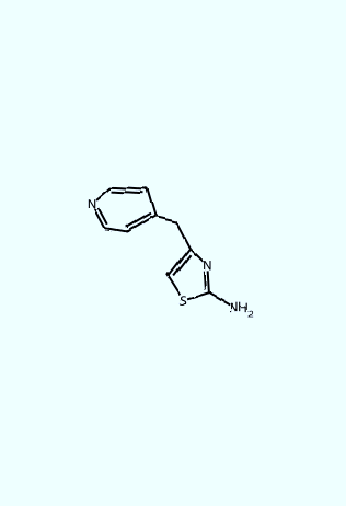 Nc1nc(Cc2ccncc2)cs1